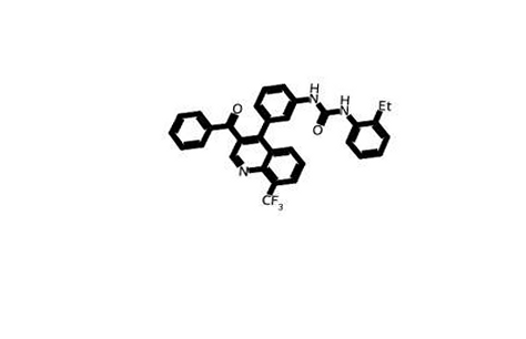 CCc1ccccc1NC(=O)Nc1cccc(-c2c(C(=O)c3ccccc3)cnc3c(C(F)(F)F)cccc23)c1